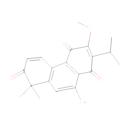 COC1=C(C(C)C)C(=O)c2c(O)cc3c(c2C1=O)C=CC(=O)C3(C)C